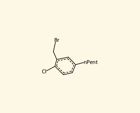 CCCCCc1ccc(Cl)c(CBr)c1